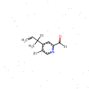 C=CC(C)(CC)c1cc(C(=O)CC)ncc1CC